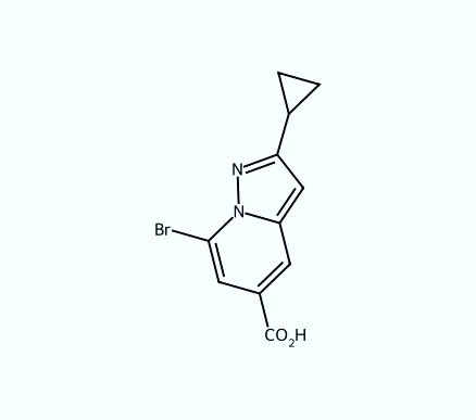 O=C(O)c1cc(Br)n2nc(C3CC3)cc2c1